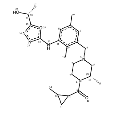 Cc1cc(CN2CCN(C(=O)C3CC3C)[C@@H](C)C2)c(C)c(Nc2nnc([C@@H](C)O)o2)c1